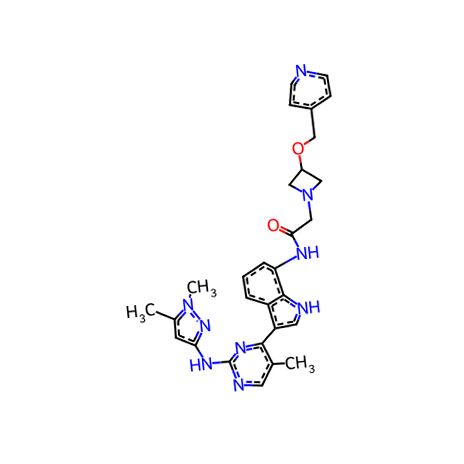 Cc1cnc(Nc2cc(C)n(C)n2)nc1-c1c[nH]c2c(NC(=O)CN3CC(OCc4ccncc4)C3)cccc12